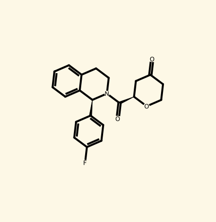 O=C1CCO[C@@H](C(=O)N2CCc3ccccc3[C@@H]2c2ccc(F)cc2)C1